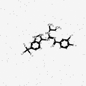 CCC(C)N/C(=N/C(=O)c1ccc(F)c(F)c1)NC1NNc2cc(C(F)(F)F)ccc21